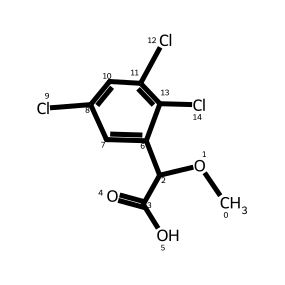 COC(C(=O)O)c1cc(Cl)cc(Cl)c1Cl